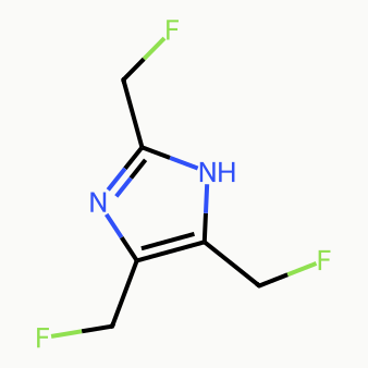 FCc1nc(CF)c(CF)[nH]1